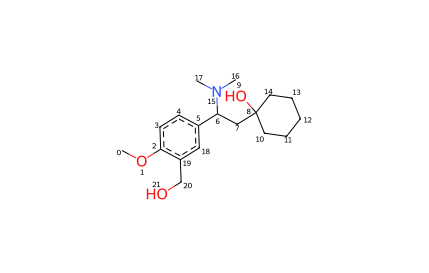 COc1ccc(C(CC2(O)CCCCC2)N(C)C)cc1CO